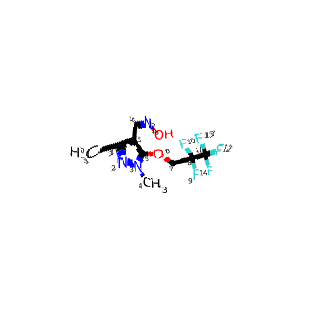 Cc1nn(C)c(OCC(F)(F)C(F)(F)F)c1/C=N\O